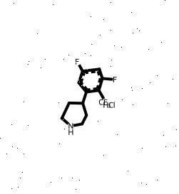 Cl.Fc1cc(F)c(C(F)(F)F)c(C2CCNCC2)c1